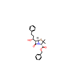 CC1(C)S[C@@H]2[C@H]([C@@H](O)CCc3ccccc3)C(=O)N2[C@H]1C(=O)OCc1ccccc1